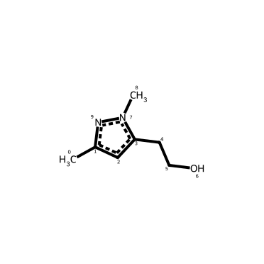 Cc1cc(CCO)n(C)n1